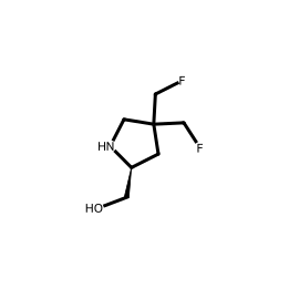 OC[C@@H]1CC(CF)(CF)CN1